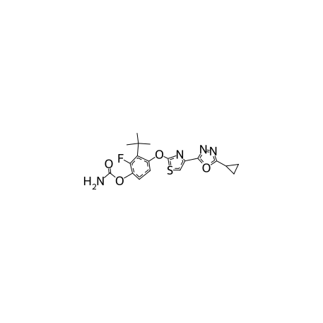 CC(C)(C)c1c(Oc2nc(-c3nnc(C4CC4)o3)cs2)ccc(OC(N)=O)c1F